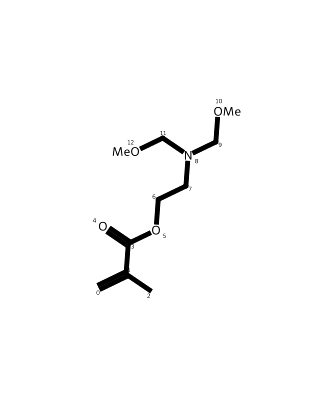 C=C(C)C(=O)OCCN(COC)COC